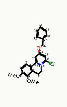 COc1ccc2c(c1OC)CC[n+]1c(Cl)cc(OCc3ccccc3)cc1-2